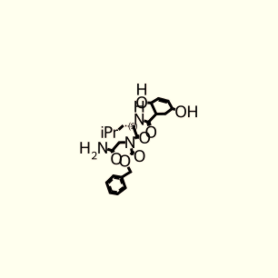 CC(C)C[C@H](NC(=O)C1CC(O)C=CC1O)C(=O)N(CC(N)=O)C(=O)OCc1ccccc1